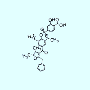 CCc1cc(C(=O)c2c(Cc3ccccc3)oc(C)c2C)cc(CC)c1OS(=O)(=O)c1ccc(C(=O)O)c(O)c1